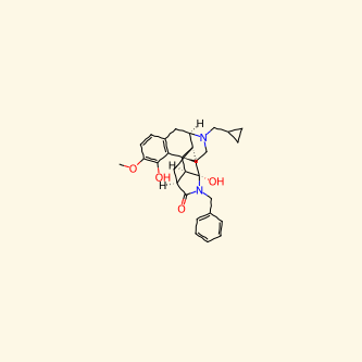 COc1ccc2c(c1O)[C@]13CCN(CC4CC4)[C@H](C2)[C@]12CC[C@]1(O)[C@H]3[C@H](C2)C(=O)N1Cc1ccccc1